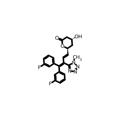 Cn1nnnc1C(C=C[C@@H]1C[C@@H](O)CC(=O)O1)=C(c1cccc(F)c1)c1cccc(F)c1